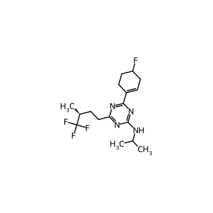 CC(C)Nc1nc(CC[C@H](C)C(F)(F)F)nc(C2=CCC(F)CC2)n1